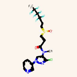 CCN(C(=O)CC[S+]([O-])CCC(F)(F)C(F)(F)C(F)(F)C(F)(F)F)c1cn(-c2cccnc2)nc1Cl